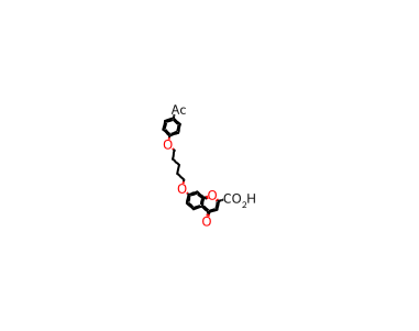 CC(=O)c1ccc(OCCCCCOc2ccc3c(=O)cc(C(=O)O)oc3c2)cc1